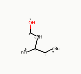 CCCCCC(BCO)CCC